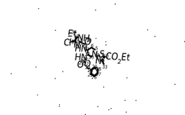 CCOC(=O)c1sc(N2CCC(NC(=O)c3nc(Cl)c(CC)[nH]3)C(NC(=O)OCc3ccccc3)C2)nc1C